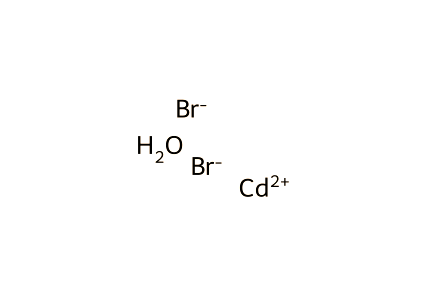 O.[Br-].[Br-].[Cd+2]